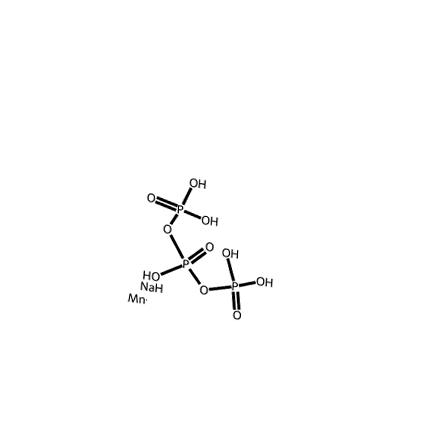 O=P(O)(O)OP(=O)(O)OP(=O)(O)O.[Mn].[NaH]